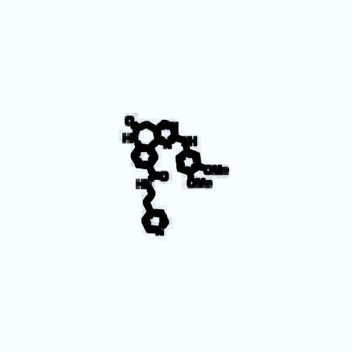 COc1ccc(Nc2ncc3c(n2)-c2cc(C(=O)NCCc4ccncc4)ccc2NC(=O)C3)cc1OC